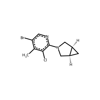 Cc1c(Br)cnc(N2C[C@H]3C[C@H]3C2)c1Cl